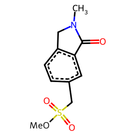 COS(=O)(=O)Cc1ccc2c(c1)C(=O)N(C)C2